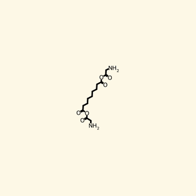 NCC(=O)OC(=O)CCCCCCCC(=O)OC(=O)CN